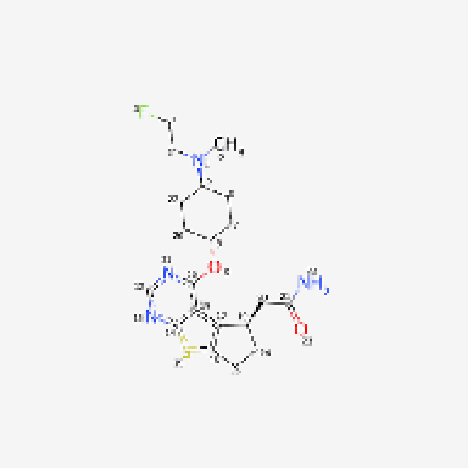 CN(CCF)[C@H]1CC[C@H](Oc2ncnc3sc4c(c23)[C@@H](CC(N)=O)CC4)CC1